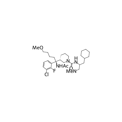 CNCC(CC1CCCCC1)NC(=O)N1CCC[C@@H]([C@](CCCCOC)(NC(C)=O)c2cccc(Cl)c2F)C1